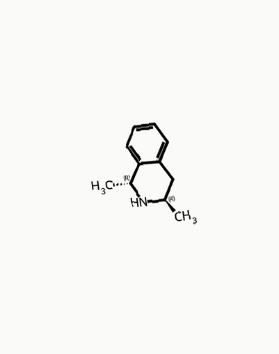 C[C@@H]1Cc2ccccc2[C@@H](C)N1